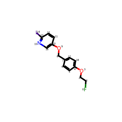 FCCOc1ccc(COc2ccc(I)nc2)cc1